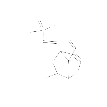 BC1O[C@@]2(/C=C/P(=O)(O)O)C#CO[C@@H]1C[C@@H]2C=C